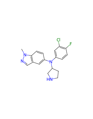 Cn1ncc2cc(N(c3ccc(F)c(Cl)c3)C3CCNC3)ccc21